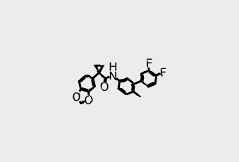 Cc1ccc(NC(=O)C2(c3ccc4c(c3)OCO4)CC2)cc1-c1ccc(F)c(F)c1